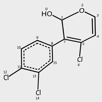 OC1OC=CC(Cl)=C1c1ccc(Cl)c(Cl)c1